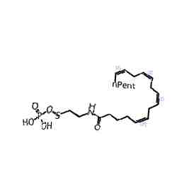 CCCCC/C=C\C/C=C\C/C=C\C/C=C\CCCC(=O)NCCSOP(=O)(O)O